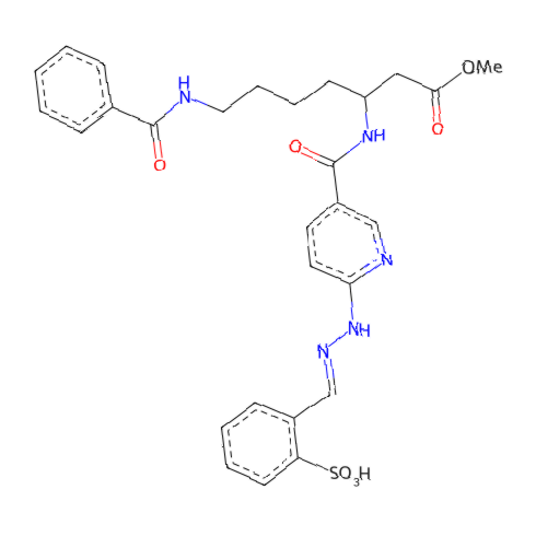 COC(=O)CC(CCCCNC(=O)c1ccccc1)NC(=O)c1ccc(NN=Cc2ccccc2S(=O)(=O)O)nc1